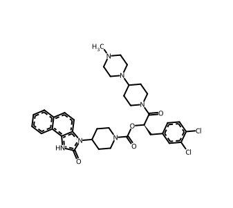 CN1CCN(C2CCN(C(=O)[C@@H](Cc3ccc(Cl)c(Cl)c3)OC(=O)N3CCC(n4c(=O)[nH]c5c6ccccc6ccc54)CC3)CC2)CC1